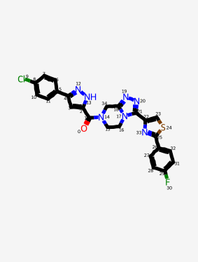 O=C(c1cc(-c2ccc(Cl)cc2)n[nH]1)N1CCn2c(nnc2-c2csc(-c3ccc(F)cc3)n2)C1